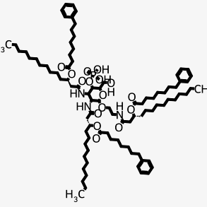 CCCCCCCCCCC[C@H](CC(=O)NCCOC1OC(CO)C(OP(=O)(O)O)C(NC(=O)C[C@@H](CCCCCCCCCCC)OC(=O)CCCCCCCc2ccccc2)C1NC(=O)C[C@@H](CCCCCCCCCCC)OC(=O)CCCCCCCc1ccccc1)OC(=O)CCCCCCCc1ccccc1